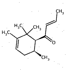 CC=CC(=O)[C@H]1[C@@H](C)CC=C(C)C1(C)C